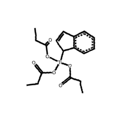 CCC(=O)[O][Ti]([O]C(=O)CC)([O]C(=O)CC)[CH]1C=Cc2ccccc21